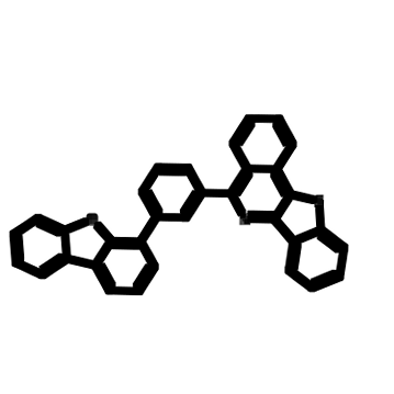 c1cc(-c2nc3c4ccccc4sc3c3ccccc23)cc(-c2cccc3c2oc2ccccc23)c1